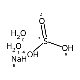 O.O.O=S(O)O.[NaH]